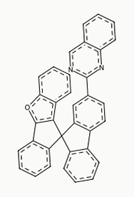 c1ccc2c(c1)-c1ccc(-c3ncc4ccccc4n3)cc1C21c2ccccc2-c2oc3ccccc3c21